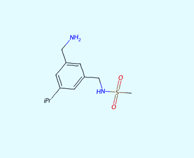 CC(C)c1cc(CN)cc(CNS(C)(=O)=O)c1